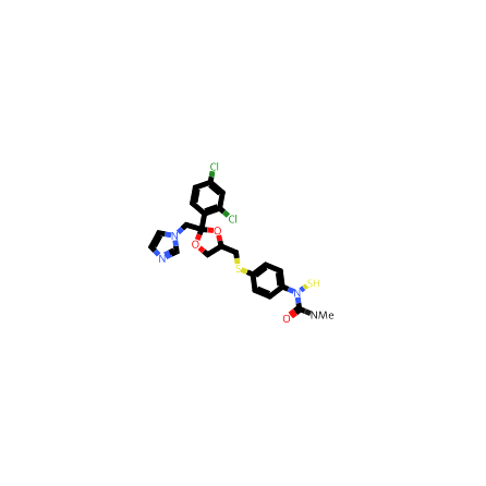 CNC(=O)N(S)c1ccc(SCC2COC(Cn3ccnc3)(c3ccc(Cl)cc3Cl)O2)cc1